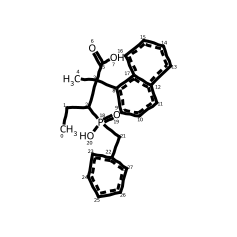 CCC(C(C)(C(=O)O)c1cccc2ccccc12)P(=O)(O)Cc1ccccc1